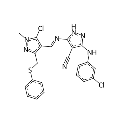 Cn1nc(CSc2ccccc2)c(/C=N/c2[nH]nc(Nc3cccc(Cl)c3)c2C#N)c1Cl